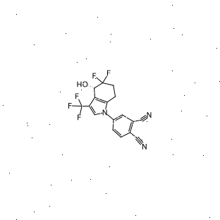 N#Cc1ccc(-n2cc(C(F)(F)F)c3c2CCC(F)(F)[C@H]3O)cc1C#N